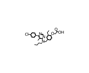 CCCCN(Cc1ccc(OCC(=O)O)c(CC)c1)c1ncnc(-c2ccc(Cl)cc2)c1C